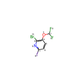 FC(F)Oc1ccc(I)nc1Br